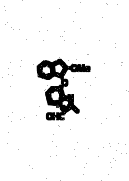 CO[C@@H]1Cc2ccccc2[C@H]1Oc1cccn2c(C=O)c(C)nc12